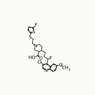 COc1ccc2ncc(Cl)c(C(F)CCC3CCN(CCSc4ccc(F)s4)CC3C(=O)O)c2c1